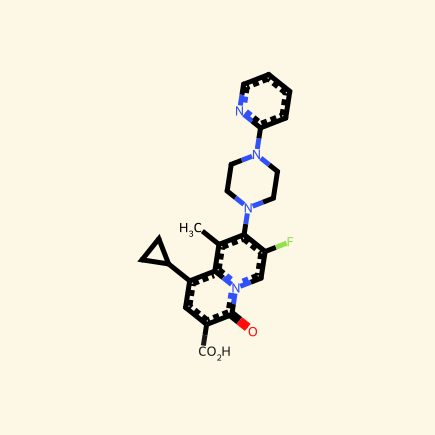 Cc1c(N2CCN(c3ccccn3)CC2)c(F)cn2c(=O)c(C(=O)O)cc(C3CC3)c12